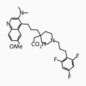 COc1ccc2ncc(N(C)C)c(CCCC3(CC(=O)O)CCN(CCCc4c(F)cc(F)cc4F)CC3)c2c1